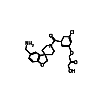 NCc1ccc2c(c1)C1(CCN(C(=O)C3C=C(OCC(=O)CO)C=C(Cl)C3)CC1)CO2